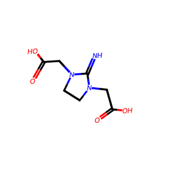 N=C1N(CC(=O)O)CCN1CC(=O)O